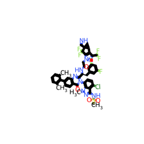 Cc1cccc(C)c1-c1ccc2c(=O)n(-c3ccc(Cl)c4c(NS(C)(=O)=O)nn(C)c34)c([C@H](Cc3cc(F)cc(F)c3)NC(=O)Cn3nc(C(F)F)c4c3C(F)(F)C3(C=N)CC43)nc2c1